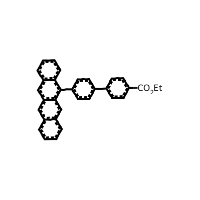 CCOC(=O)c1ccc(-c2ccc(-c3c4ccccc4cc4cc5ccccc5cc34)cc2)cc1